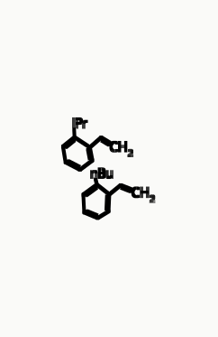 C=Cc1ccccc1C(C)C.C=Cc1ccccc1CCCC